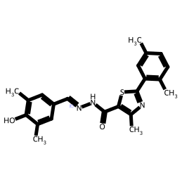 Cc1ccc(C)c(-c2nc(C)c(C(=O)N/N=C/c3cc(C)c(O)c(C)c3)s2)c1